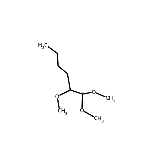 CCCCC(OC)[C](OC)OC